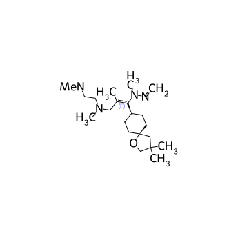 C=NN(C)/C(=C(\C)CN(C)CCNC)[C@H]1CC[C@@]2(CC1)CC(C)(C)CO2